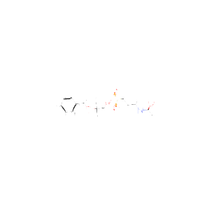 CC(=O)NCCCS(=O)(=O)OCC(C)(C)OCc1ccccc1